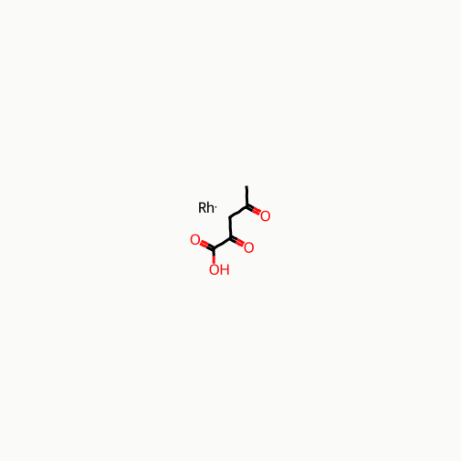 CC(=O)CC(=O)C(=O)O.[Rh]